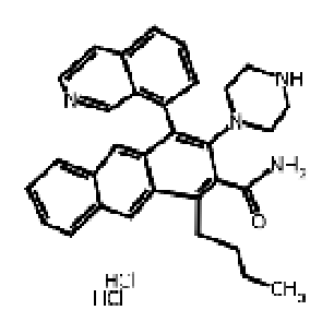 CCCCc1c(C(N)=O)c(N2CCNCC2)c(-c2cccc3ccncc23)c2cc3ccccc3cc12.Cl.Cl